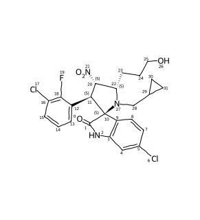 O=C1Nc2cc(Cl)ccc2[C@@]12[C@@H](c1cccc(Cl)c1F)[C@H]([N+](=O)[O-])[C@H](CCCO)N2CC1CC1